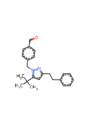 CC(C)(C)c1cc(CCc2ccccc2)nn1Cc1ccc(C=O)cc1